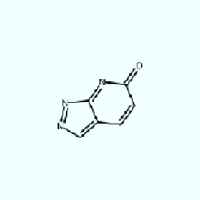 O=C1C=CC2=CN=NC2=N1